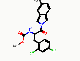 CC(C)(C)OC(=O)NC(Cc1ccc(Cl)cc1Cl)C(=O)n1cc2ccc([N+](=O)[O-])cc2c1